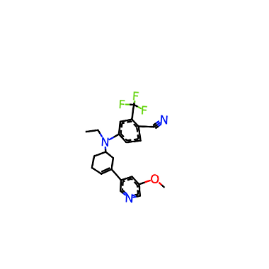 CCN(c1ccc(C#N)c(C(F)(F)F)c1)C1CCC=C(c2cncc(OC)c2)C1